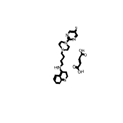 Fc1cnc(N2CCN(CCCCNC3=c4ccccc4=NCC3)CC2)nc1.O=C(O)C=CC(=O)O